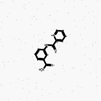 NC(=O)c1cccc(NC(=O)c2ccccn2)c1